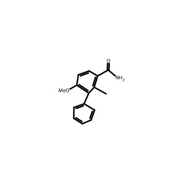 COc1ccc(C(N)=O)c(C)c1-c1ccccc1